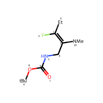 CC/C(F)=C(/CNC(=O)OC(C)(C)C)NC